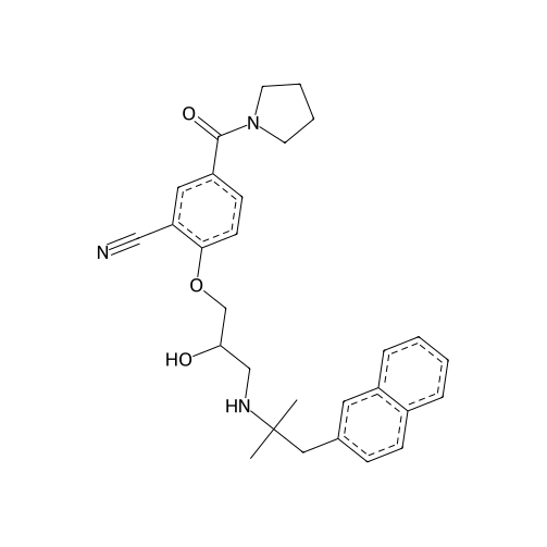 CC(C)(Cc1ccc2ccccc2c1)NCC(O)COc1ccc(C(=O)N2CCCC2)cc1C#N